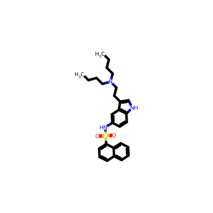 CCCCN(CCCC)CCc1c[nH]c2ccc(NS(=O)(=O)c3cccc4ccccc34)cc12